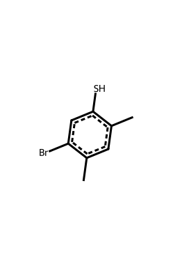 Cc1cc(C)c(Br)cc1S